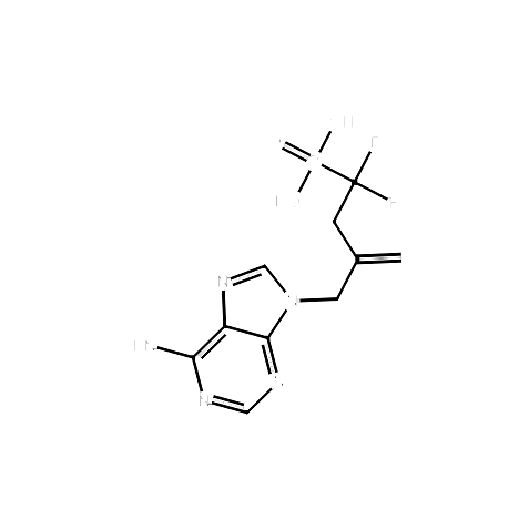 C=C(Cn1cnc2c(N)ncnc21)CC(F)(F)P(=O)(O)O